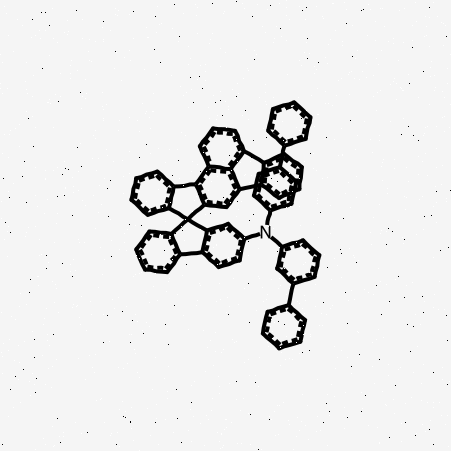 c1ccc(-c2ccc(N(c3cccc(-c4ccccc4)c3)c3ccc4c(c3)C3(c5ccccc5-4)c4ccccc4-c4c3cc3c5c(cccc45)-c4ccccc4-3)cc2)cc1